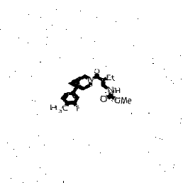 CCC(CNC(=O)OC)C(=O)N1CCC2(c3ccc(C)c(F)c3)CC2C1